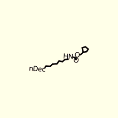 CCCCCCCCCCCCCCCCCCNC(=O)OCC1CCCC1